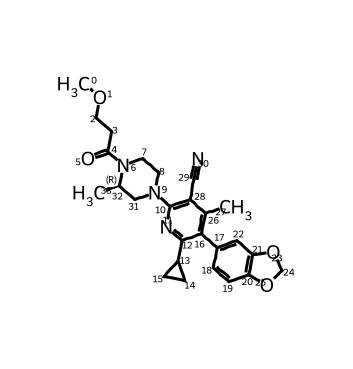 COCCC(=O)N1CCN(c2nc(C3CC3)c(-c3ccc4c(c3)OCO4)c(C)c2C#N)C[C@H]1C